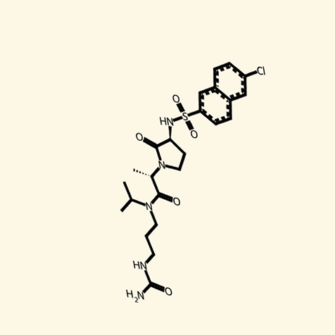 CC(C)N(CCCNC(N)=O)C(=O)[C@H](C)N1CC[C@H](NS(=O)(=O)c2ccc3cc(Cl)ccc3c2)C1=O